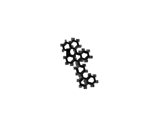 C1=CC2=C(NC1)C(c1c3c(c(-c4ccc(-c5cccc6c5=CCCC=6)cc4)c4ccccc14)=CCCC=3)=CCC2